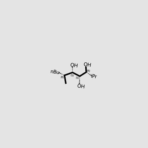 CCCC[C@@H](C)[C@H](O)[C@@H](O)[C@H](O)C(C)C